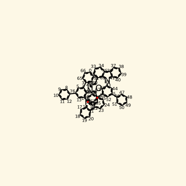 c1ccc(-c2cc(-c3ccccc3)cc(-n3c4ccccc4c4cccc(-c5nnc(-c6cccc7c8ccccc8n(-c8cc(-c9ccccc9)cc(-c9ccccc9)c8)c67)o5)c43)c2)cc1